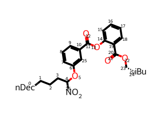 CCCCCCCCCCCCCC(Oc1cccc(C(=O)Oc2ccccc2C(=O)OC[C@@H](C)CC)c1)[N+](=O)[O-]